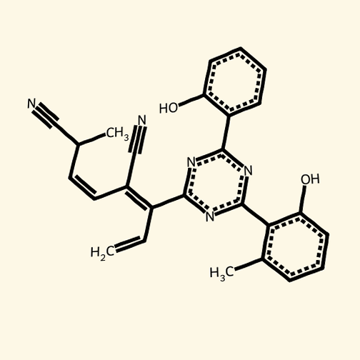 C=C/C(=C(C#N)\C=C/C(C)C#N)c1nc(-c2ccccc2O)nc(-c2c(C)cccc2O)n1